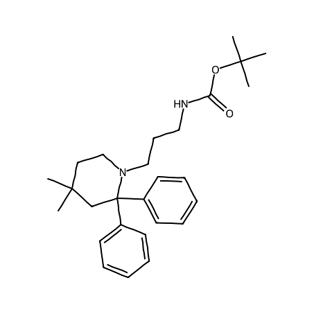 CC1(C)CCN(CCCNC(=O)OC(C)(C)C)C(c2ccccc2)(c2ccccc2)C1